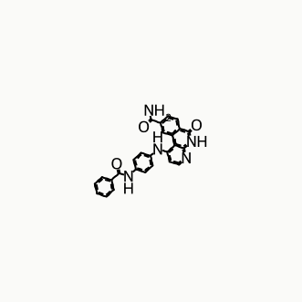 NC(=O)c1ccc2c(=O)[nH]c3nccc(Nc4ccc(NC(=O)c5ccccc5)cc4)c3c2c1